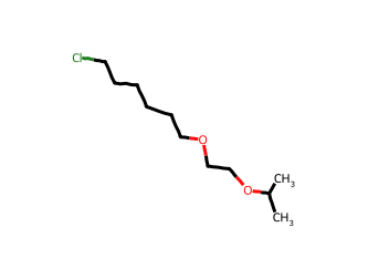 CC(C)OCCOCCCCCCCl